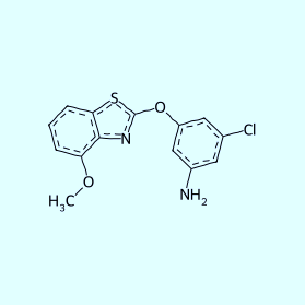 COc1cccc2sc(Oc3cc(N)cc(Cl)c3)nc12